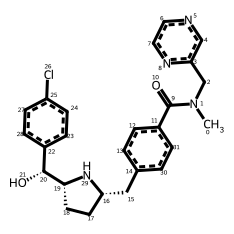 CN(Cc1cnccn1)C(=O)c1ccc(C[C@@H]2CC[C@H]([C@H](O)c3ccc(Cl)cc3)N2)cc1